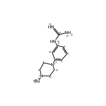 CC(C)(C)N1CCN(c2cccc(NC(=N)N)c2)CC1